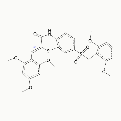 COc1cc(OC)c(/C=C2\Sc3cc(S(=O)(=O)Cc4c(OC)cccc4OC)ccc3NC2=O)c(OC)c1